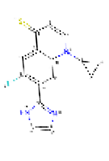 Fc1cc2c(=S)ccn(C3CC3)c2cc1-c1ncc[nH]1